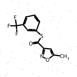 Cc1cc(C(=O)Sc2cccc(C(F)(F)F)c2)no1